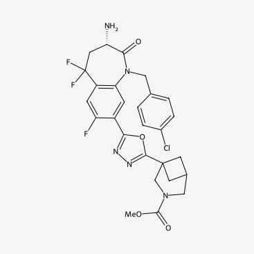 COC(=O)N1CC2CC(c3nnc(-c4cc5c(cc4F)C(F)(F)C[C@H](N)C(=O)N5Cc4ccc(Cl)cc4)o3)(C2)C1